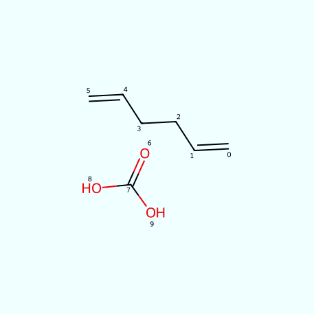 C=CCCC=C.O=C(O)O